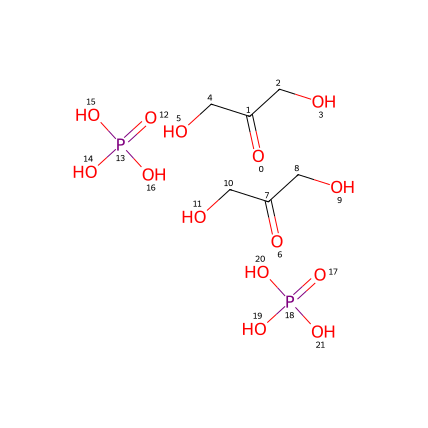 O=C(CO)CO.O=C(CO)CO.O=P(O)(O)O.O=P(O)(O)O